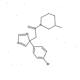 CC1CCCN(C(=O)CC2(c3ccc(Br)cc3)C=NC=N2)C1